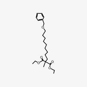 CCOC(=O)C(C)(CCCCCCCCCOCc1ccccc1)C(=O)OCC